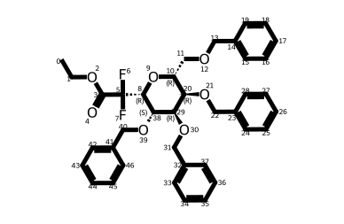 CCOC(=O)C(F)(F)[C@@H]1O[C@H](COCc2ccccc2)[C@@H](OCc2ccccc2)[C@@H](OCc2ccccc2)[C@@H]1OCc1ccccc1